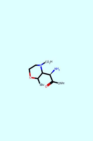 COC(=O)[C@H](N)C1C(C(C)(C)C)OCCN1C(=O)O